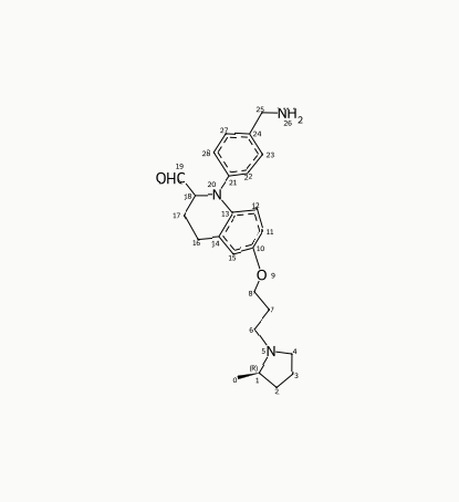 C[C@@H]1CCCN1CCCOc1ccc2c(c1)CCC(C=O)N2c1ccc(CN)cc1